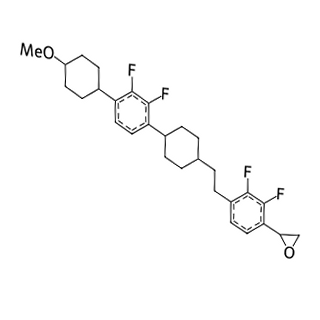 COC1CCC(c2ccc(C3CCC(CCc4ccc(C5CO5)c(F)c4F)CC3)c(F)c2F)CC1